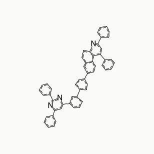 c1ccc(-c2cc(-c3cccc(-c4ccc(-c5ccc6c(ccc7nc(-c8ccccc8)cc(-c8ccccc8)c76)c5)cc4)c3)nc(-c3ccccc3)n2)cc1